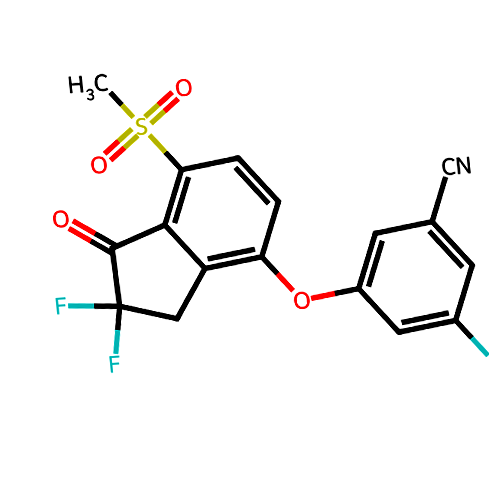 CS(=O)(=O)c1ccc(Oc2cc(F)cc(C#N)c2)c2c1C(=O)C(F)(F)C2